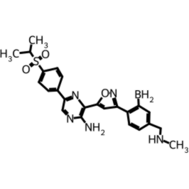 Bc1cc(CNC)ccc1-c1cc(-c2nc(-c3ccc(S(=O)(=O)C(C)C)cc3)cnc2N)on1